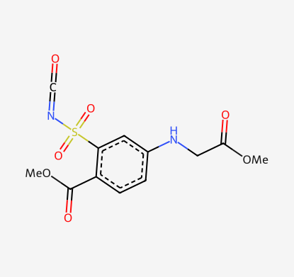 COC(=O)CNc1ccc(C(=O)OC)c(S(=O)(=O)N=C=O)c1